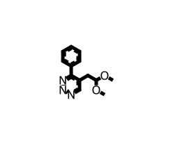 COC(Cc1cnnnc1-c1ccccc1)OC